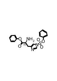 N[C@@H](Cc1cn(S(=O)(=O)Oc2ccccc2)cn1)C(=O)Oc1ccccc1